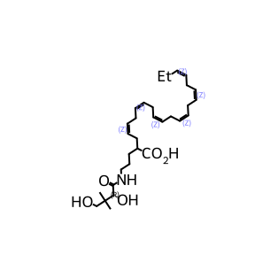 CC/C=C\C/C=C\C/C=C\C/C=C\C/C=C\C/C=C\CC(CCCNC(=O)[C@H](O)C(C)(C)CO)C(=O)O